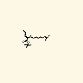 CCCC(SCCCCCCC(F)F)C(=O)OC(C)(C)C